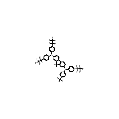 CC(F)(F)c1ccc(N(c2ccc(C(F)(F)C(F)(F)F)cc2)c2ccc3c(c2)C(C)(C)c2cc(N(c4ccc(C(F)(F)C(F)(F)F)cc4)c4ccc(C(F)(F)C(F)(F)F)cc4)ccc2-3)cc1